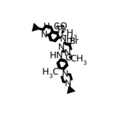 COc1cc(N2CCN(C3CC3)CC2)c(C)cc1Nc1ncc(Br)c(Nc2ccc3nc(C4CC4)ccc3c2P(C)(C)=O)n1